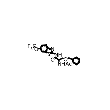 CC(=O)NC(COCc1ccccc1)C(=O)Nc1nc2ccc(OC(F)(F)F)cc2s1